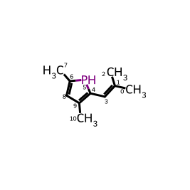 CC(C)=Cc1[pH]c(C)cc1C